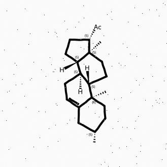 CC(=O)[C@H]1CC[C@H]2[C@@H]3CC=C4C[C@@H](C)CC[C@]4(C)[C@H]3CC[C@]12C